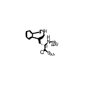 CC(C)(C)N[C@@H](Cc1c[nH]c2ccccc12)C(=O)C(C)(C)C